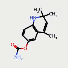 CC1=CC(C)(C)Nc2ccc(OC(N)=O)cc21